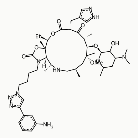 CC[C@H]1OC(=O)[C@H](Cc2cn[nH]c2)C(=O)[C@H](C)[C@@H](O[C@@H]2OC(C)CC(N(C)C)C2O)[C@](C)(OC)C[C@@H](C)CN[C@H](C)[C@H]2N(CCCCn3cc(-c4cccc(N)c4)nn3)C(=O)O[C@]12C